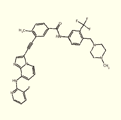 Cc1ccc(C(=O)Nc2ccc(CN3CCN(C)CC3)c(C(F)(F)F)c2)cc1C#Cc1cnc2c(Nc3ncccc3F)cccn12